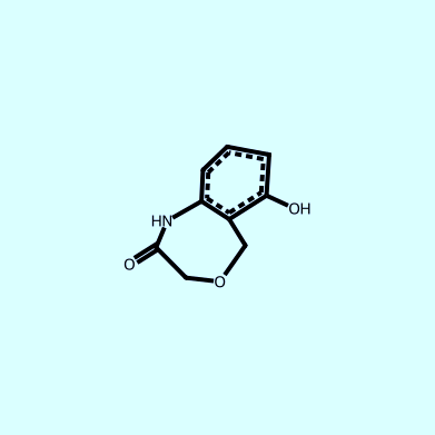 O=C1COCc2c(O)cccc2N1